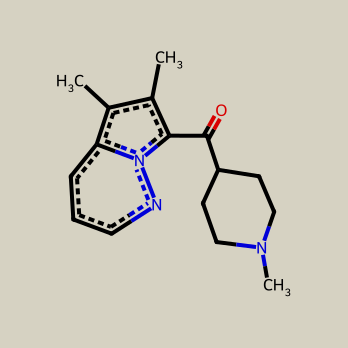 Cc1c(C)c2cccnn2c1C(=O)C1CCN(C)CC1